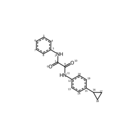 O=C(Nc1ccccc1)C(=O)Nc1ccc(C2CC2)cc1